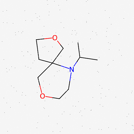 CC(C)N1CCOCC12CCOC2